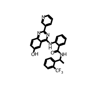 CC(NC(=O)c1ccccc1Nc1nc(-c2cccnc2)nc2ccc(O)cc12)c1ccccc1C(F)(F)F